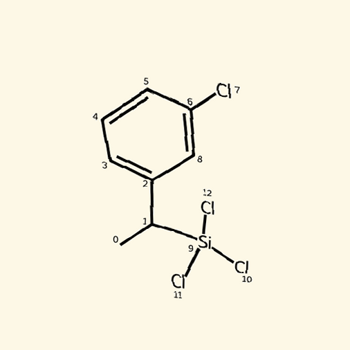 CC(c1cccc(Cl)c1)[Si](Cl)(Cl)Cl